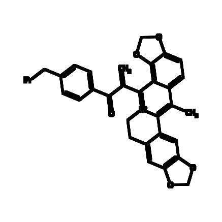 C=C(C(=O)c1ccc(CC(C)C)cc1)c1c2c3c(ccc2c(C)c2[n+]1CCc1cc4c(cc1-2)OCO4)OCO3